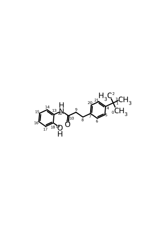 CC(C)(C)c1ccc(CCC(=O)Nc2ccccc2O)cc1